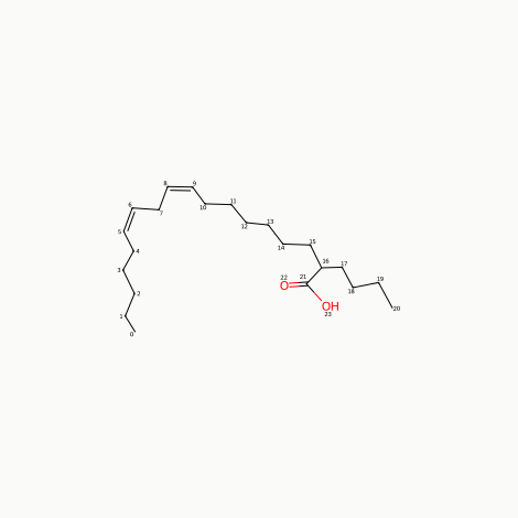 CCCCC/C=C\C/C=C\CCCCCCC(CCCC)C(=O)O